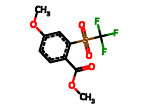 COC(=O)c1ccc(OC)cc1S(=O)(=O)C(F)(F)F